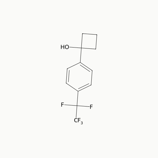 OC1(c2ccc(C(F)(F)C(F)(F)F)cc2)CCC1